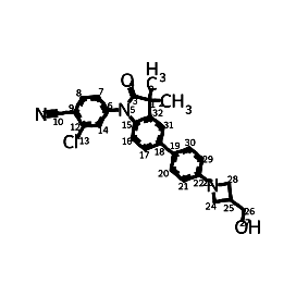 CC1(C)C(=O)N(c2ccc(C#N)c(Cl)c2)c2ccc(-c3ccc(N4CC(CO)C4)cc3)cc21